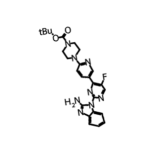 CC(C)(C)OC(=O)N1CCN(c2ccc(-c3nc(-n4c(N)nc5ccccc54)ncc3F)cn2)CC1